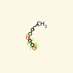 C/C=C/CCC1=CCC(C2CCC(C(F)(F)Oc3cc(F)c(-c4cc(F)c(OC(F)(F)F)c(F)c4)c(F)c3)CC2)CC1